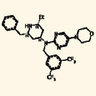 CC[C@@H]1C[C@H](N(Cc2cc(C(F)(F)F)cc(C(F)(F)F)c2)c2ncc(N3CCOCC3)cn2)C[C@H](Cc2ccccc2)N1